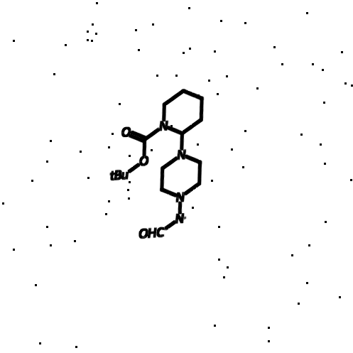 CC(C)(C)OC(=O)N1CCCCC1N1CCN([N]C=O)CC1